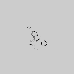 CS(=O)(=O)Nc1ccc2nc(-c3ccccc3)cc(NC(=N)NC=O)c2c1